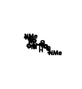 CNC(C)(C)CCOc1ccc(C(=O)NCCCn2nnc3c2-c2ccccc2N(C(=O)CCC(C)(C)NC)Cc2ccccc2-3)cc1